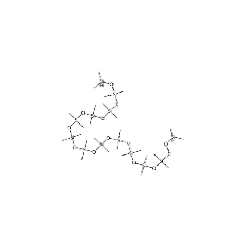 C[SiH](C)OO[Si](C)(C)O[Si](C)(C)O[Si](C)(C)O[Si](C)(C)O[Si](C)(C)O[Si](C)(C)O[Si](C)(C)O[Si](C)(C)O[Si](C)(C)O[Si](C)(C)O[Si](C)(C)O[SiH](C)C